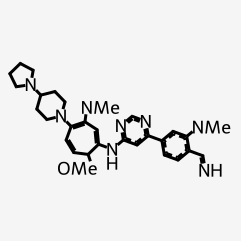 CNC1=C(N2CCC(N3CCCC3)CC2)C=CC(OC)C(Nc2cc(-c3ccc(C=N)c(NC)c3)ncn2)=C1